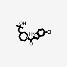 CC(C)(O)CC1CCCN(C(=O)c2cc3cc(Cl)ccc3[nH]2)CC1